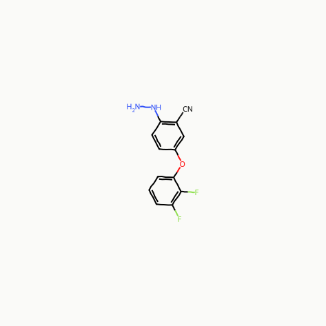 N#Cc1cc(Oc2cccc(F)c2F)ccc1NN